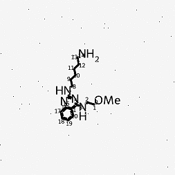 COCCNc1nc(NCCCCCCN)nc2ccccc12